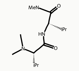 CNC(=O)[C@@H](NC(=O)[C@H](C(C)C)N(C)C)C(C)C